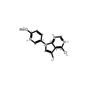 COc1ccc(-n2cc(I)c3c(Cl)ncnc32)cn1